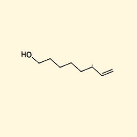 C=C[CH]CCCCCO